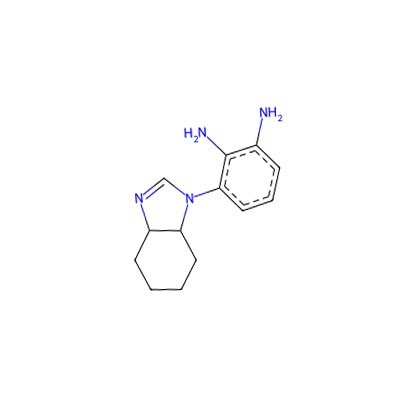 Nc1cccc(N2C=NC3CCCCC32)c1N